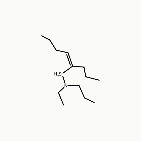 CCCC=C(CCC)[SiH2]N(CC)CCC